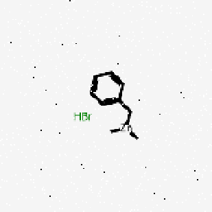 Br.[CH3][Zn]([CH3])[CH2]c1ccccc1